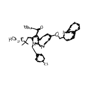 CC(C)(C)C(=O)c1c(CC(C)(C)C(=O)O)n(Cc2ccc(Cl)cc2)c2ncc(OCc3ccc4ccccc4n3)cc12